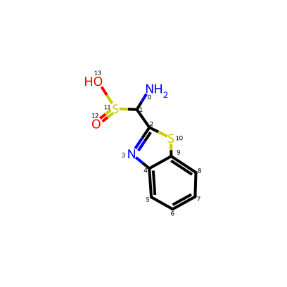 NC(c1nc2ccccc2s1)S(=O)O